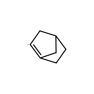 [C]1=C2CCC(C1)C2